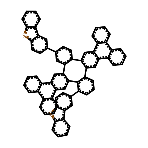 c1cc(-c2ccc3sc4ccccc4c3c2)c2c(c1)-c1cc3c4ccccc4c4ccccc4c3cc1-c1ccc(-c3ccc4sc5ccccc5c4c3)cc1-c1cc3c4ccccc4c4ccccc4c3cc1-2